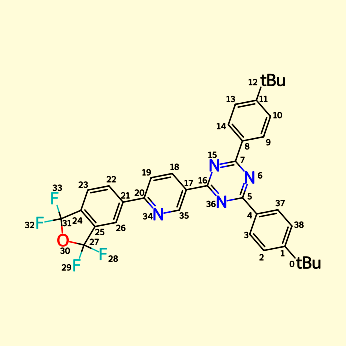 CC(C)(C)c1ccc(-c2nc(-c3ccc(C(C)(C)C)cc3)nc(-c3ccc(-c4ccc5c(c4)C(F)(F)OC5(F)F)nc3)n2)cc1